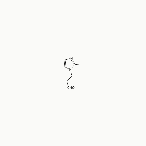 Cc1nccn1CCC=O